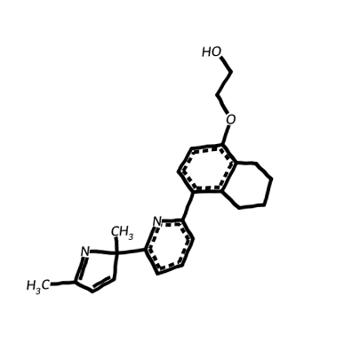 CC1=NC(C)(c2cccc(-c3ccc(OCCO)c4c3CCCC4)n2)C=C1